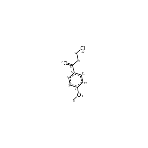 COc1ccc(C(=O)CCCl)cc1